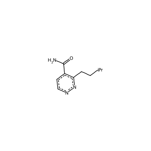 CC(C)CCc1nnccc1C(N)=O